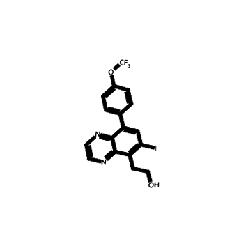 OCCc1c(I)cc(-c2ccc(OC(F)(F)F)cc2)c2nccnc12